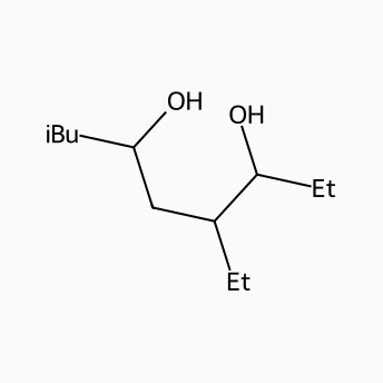 CCC(C)C(O)CC(CC)C(O)CC